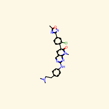 Cc1nc(-c2ccc(-c3cc4cnc(Nc5ccc(CCN(C)C)cc5)nc4n(C)c3=O)c(Cl)c2)no1